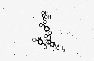 COc1ccc2c(c1)c(CC(=O)Oc1ccc(C(=O)OCC(O)CO)cc1)c(C)n2C(=O)c1ccc(Cl)cc1